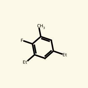 CCc1[c]c(CC)c(F)c(C)c1